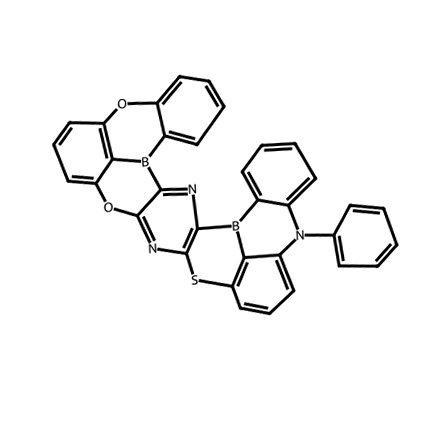 c1ccc(N2c3ccccc3B3c4nc5c(nc4Sc4cccc2c43)Oc2cccc3c2B5c2ccccc2O3)cc1